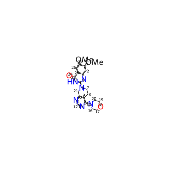 COc1cc2nc(N3CCc4c(ncnc4N4CCOCC4)C3)[nH]c(=O)c2cc1OC